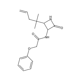 C=CCC(C)(C)C1NC(=O)C1NC(=O)COc1ccccc1